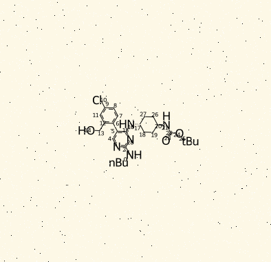 CCCCNc1ncc(-c2ccc(Cl)cc2CO)c(N[C@H]2CC[C@H](NC(=O)OC(C)(C)C)CC2)n1